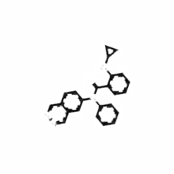 O=C(c1ccccc1NC1CC1)N(c1ccccc1)c1ccc2cnncc2c1